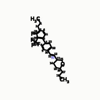 CCCc1ccc(-c2ccc(/C=C/C3CCC(CCC)OC3)cc2)c(C(F)(F)F)c1F